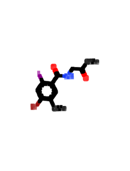 COC(=O)CNC(=O)c1cc(OC)c(Br)cc1I